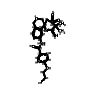 CC1(C)C(=N)N[C@@]2(COCc3ccc(NC(=O)c4cnc(OCCF)cn4)cc32)CS1(=O)=O